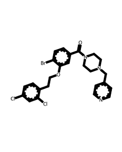 O=C(c1ccc(Br)c(OCCc2ccc(Cl)cc2Cl)c1)N1CCN(Cc2ccncc2)CC1